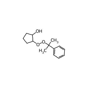 CC(C)(OOC1CCCC1O)c1ccccc1